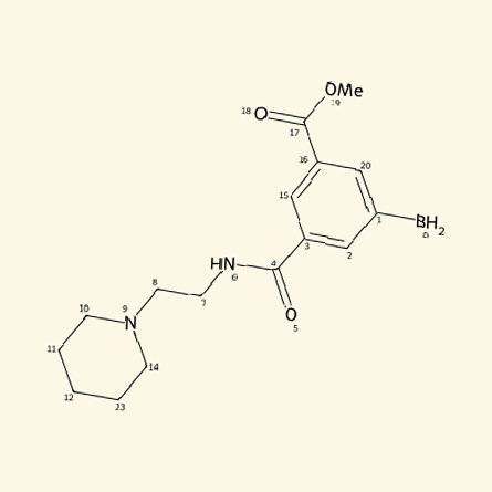 Bc1cc(C(=O)NCCN2CCCCC2)cc(C(=O)OC)c1